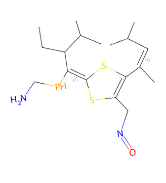 CCC(/C(PCN)=C1/SC(CN=O)=C(/C(C)=C\C(C)C)S1)C(C)C